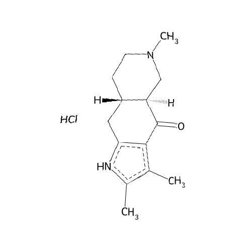 Cc1[nH]c2c(c1C)C(=O)[C@@H]1CN(C)CC[C@H]1C2.Cl